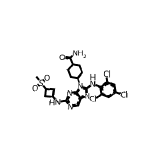 CS(=O)(=O)C1CC(Nc2ncc3nc(Nc4c(Cl)cc(Cl)cc4Cl)n(C4CCC(C(N)=O)CC4)c3n2)C1